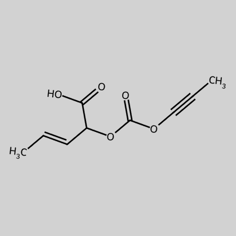 CC#COC(=O)OC(C=CC)C(=O)O